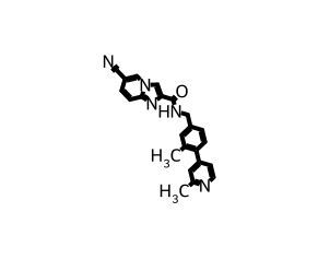 Cc1cc(-c2ccc(CNC(=O)c3cn4cc(C#N)ccc4n3)cc2C)ccn1